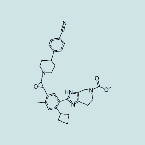 COC(=O)N1CCc2nc(-c3cc(C4OC4N4CCC(c5ccc(C#N)cc5)CC4)c(C)cc3C3CCC3)[nH]c2C1